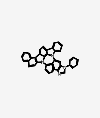 c1ccc(-n2cnc3ccc(-n4c5ccccc5c5ccc6c7c8ccccc8ccc7n(-c7ccccc7)c6c54)cc32)cc1